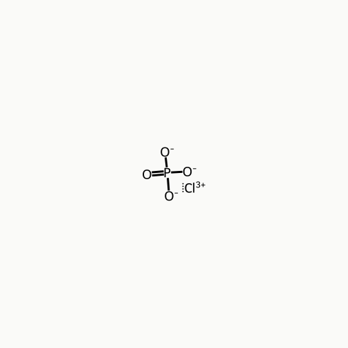 O=P([O-])([O-])[O-].[Cl+3]